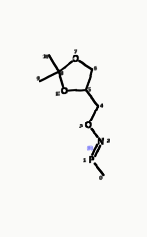 C/P=N/OCC1COC(C)(C)O1